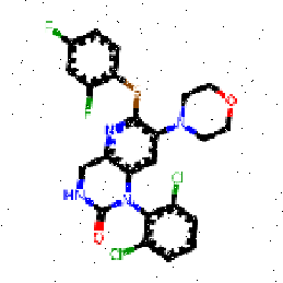 O=C1NCc2nc(Sc3ccc(F)cc3F)c(N3CCOCC3)cc2N1c1c(Cl)cccc1Cl